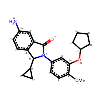 COc1ccc(N2C(=O)c3cc(N)ccc3C2C2CC2)cc1OC1CCCC1